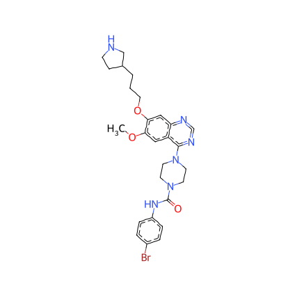 COc1cc2c(N3CCN(C(=O)Nc4ccc(Br)cc4)CC3)ncnc2cc1OCCCC1CCNC1